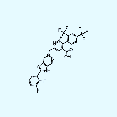 O=C(O)c1cc(CN2Cc3nc(-c4cccc(F)c4F)[nH]c3C=N2)nnc1-c1ccc(C(F)(F)F)cc1C(F)(F)F